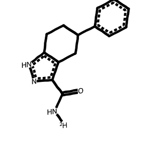 [2H]NC(=O)c1n[nH]c2c1CC(c1ccccc1)CC2